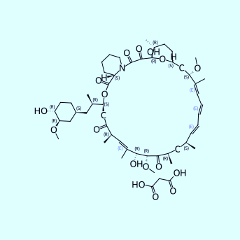 CO[C@H]1C[C@@H]2CC[C@@H](C)[C@@](O)(O2)C(=O)C(=O)N2CCCC[C@H]2C(=O)O[C@H]([C@H](C)C[C@@H]2CC[C@@H](O)[C@H](OC)C2)CC(=O)[C@H](C)/C=C(\C)[C@@H](O)[C@@H](OC)C(=O)[C@H](C)C[C@H](C)/C=C/C=C/C=C/1C.O=C(O)CC(=O)O